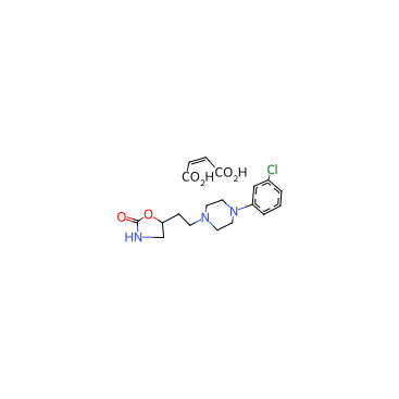 O=C(O)/C=C\C(=O)O.O=C1NCC(CCN2CCN(c3cccc(Cl)c3)CC2)O1